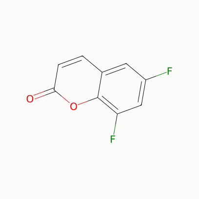 O=c1ccc2cc(F)cc(F)c2o1